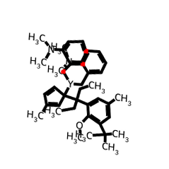 CCC(CC)(c1cc(C)cc(C(C)(C)C)c1OC)[C]1([Y]([CH2]c2ccccc2N(C)C)[CH2]c2ccccc2N(C)C)C=CC(C)=C1